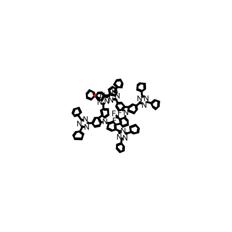 FC(F)(F)c1c(-c2cc(-n3c4ccc(-c5nc(-c6ccccc6)nc(-c6ccccc6)n5)cc4c4cc(-c5nc(-c6ccccc6)nc(-c6ccccc6)n5)ccc43)ccc2-c2nc(-c3ccccc3)nc(-c3ccccc3)n2)cccc1-n1c2ccc(-c3nc(-c4ccccc4)nc(-c4ccccc4)n3)cc2c2cc(-c3nc(-c4ccccc4)nc(-c4ccccc4)n3)ccc21